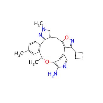 Cc1ccc2c(c1)C(C)Oc1cc(cnc1N)-c1c(C3CCC3)noc1Cc1cn(C)nc1-2